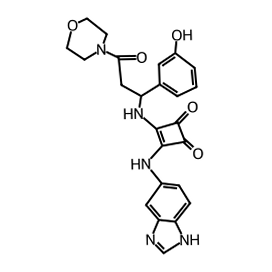 O=C(CC(Nc1c(Nc2ccc3[nH]cnc3c2)c(=O)c1=O)c1cccc(O)c1)N1CCOCC1